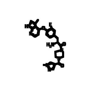 Cc1c[nH]c2nccc(Oc3ccc(C[C@H](N)C(=O)N4CCN(C(=O)c5cnn(C)c5)CC4)cc3F)c12